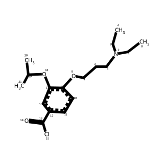 CCN(CC)CCCOc1ccc(C(=O)Cl)cc1OC(C)C